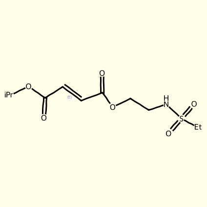 CCS(=O)(=O)NCCOC(=O)/C=C/C(=O)OC(C)C